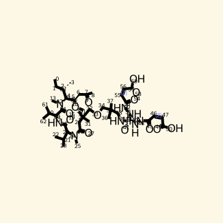 CC[C@H](C)[C@@H]([C@@H](CC(C)=O)OC)N(C)C(=O)[C@@H](NC(=O)C(C(C)C)N(C)C(=O)CC(C)(C)COCC(C)(C)CNP(=O)(NNC(=O)/C=C\C(=O)O)NNC(=O)/C=C\C(=O)O)C(C)C